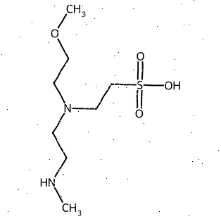 CNCCN(CCOC)CCS(=O)(=O)O